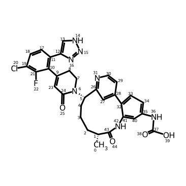 C[C@@H]1CCC[C@H](N2CCC(c3c(-c4c[nH]nn4)ccc(Cl)c3F)=CC2=O)c2cc(ccn2)-c2ccc(NC(=O)O)cc2NC1=O